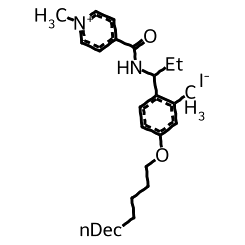 CCCCCCCCCCCCCCOc1ccc(C(CC)NC(=O)c2cc[n+](C)cc2)c(C)c1.[I-]